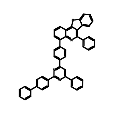 c1ccc(-c2ccc(-c3nc(-c4ccccc4)cc(-c4ccc(-c5cccc6c5nc(-c5ccccc5)c5c7ccccc7oc65)cc4)n3)cc2)cc1